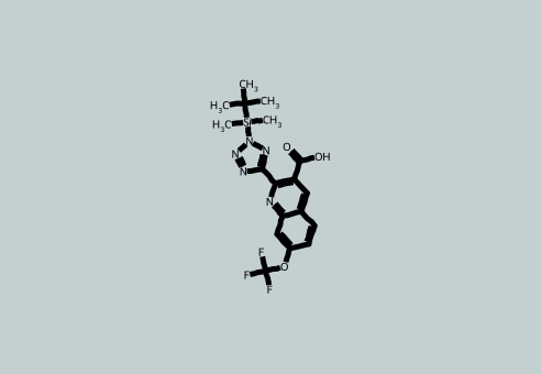 CC(C)(C)[Si](C)(C)n1nnc(-c2nc3cc(OC(F)(F)F)ccc3cc2C(=O)O)n1